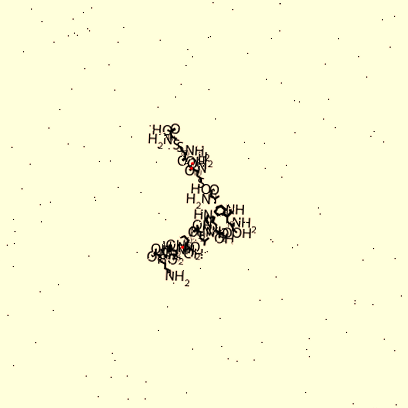 CC(C)C[C@H](N)C(=O)O.CC(C)[C@H](N)C(=O)O.CC[C@H](C)[C@H](N)C(=O)O.CSCC[C@H](N)C(=O)O.C[C@@H](O)[C@H](N)C(=O)O.NCCCC[C@H](N)C(=O)O.N[C@@H](CSSC[C@H](N)C(=O)O)C(=O)O.N[C@@H](Cc1c[nH]c2ccccc12)C(=O)O.N[C@@H](Cc1c[nH]cn1)C(=O)O